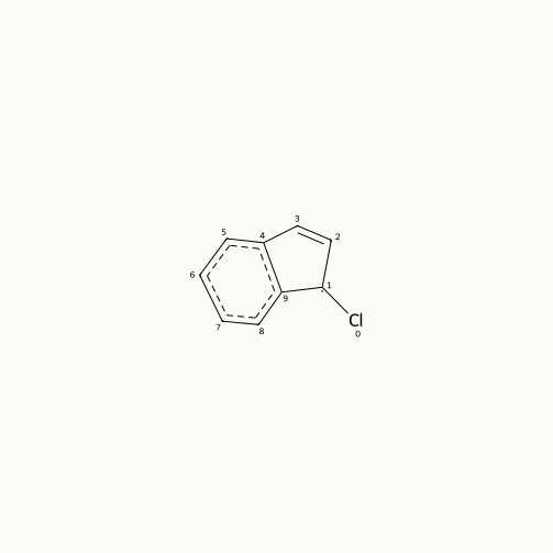 Cl[C]1C=Cc2ccccc21